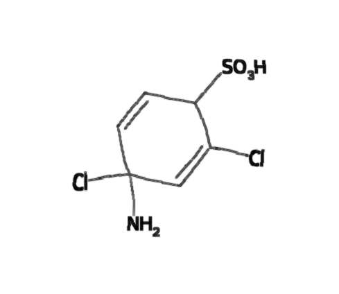 NC1(Cl)C=CC(S(=O)(=O)O)C(Cl)=C1